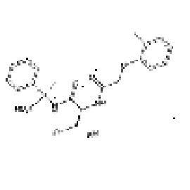 Cc1ccccc1OCC(=O)N[C@@H](CC(C)C)C(=O)NC(C)(C(=O)O)c1ccccc1.[KH]